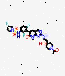 CC(=O)N1CCC(O)(CCNc2ncc3cc(-c4c(F)ccc(NS(=O)(=O)N5CC[C@@H](F)C5)c4F)c(=O)n(C)c3n2)CC1